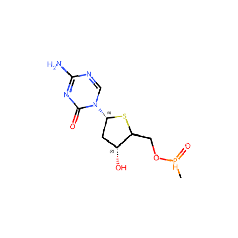 C[PH](=O)OCC1S[C@@H](n2cnc(N)nc2=O)C[C@H]1O